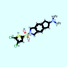 CCCN(CCC)C1Cc2cc3c(cc2C1)CN(S(=O)(=O)c1cc(Cl)c(Cl)s1)C3